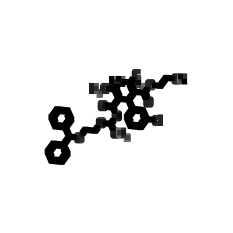 CC1=C(C(=O)OCCC#N)C(c2cccc(Cl)c2)C(C(=O)OC(C)OCCOC(c2ccccc2)c2ccccc2)=C(C)N1